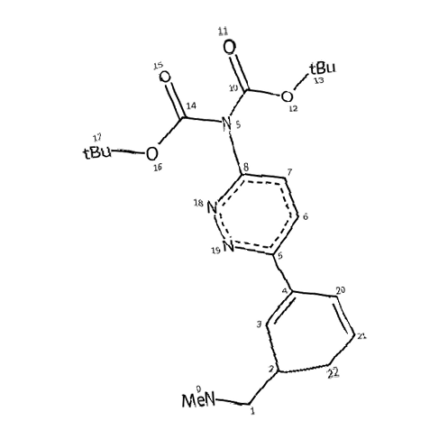 CNCC1C=C(c2ccc(N(C(=O)OC(C)(C)C)C(=O)OC(C)(C)C)nn2)C=CC1